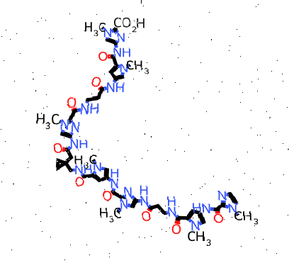 Cn1cc(NC(=O)c2nccn2C)cc1C(=O)NCCC(=O)Nc1cn(C)c(C(=O)Nc2cc(C(=O)NCC3(CC(=O)Nc4cn(C)c(C(=O)NCCC(=O)Nc5cc(C(=O)Nc6cn(C)c(C(=O)O)n6)n(C)c5)n4)CC3)n(C)c2)n1